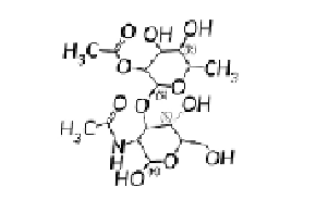 CC(=O)NC1C(O[C@@H]2OC(C)[C@H](O)C(O)C2OC(C)=O)[C@H](O)C(CO)O[C@H]1O